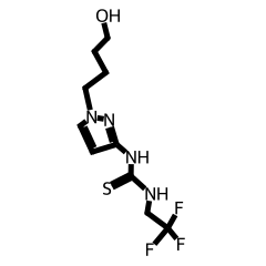 OCCCCn1ccc(NC(=S)NCC(F)(F)F)n1